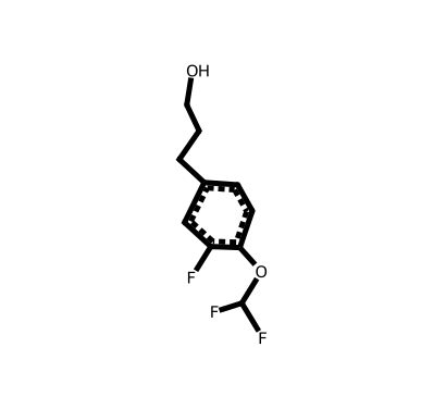 OCCCc1ccc(OC(F)F)c(F)c1